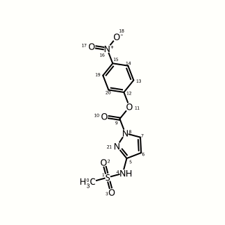 CS(=O)(=O)Nc1ccn(C(=O)Oc2ccc([N+](=O)[O-])cc2)n1